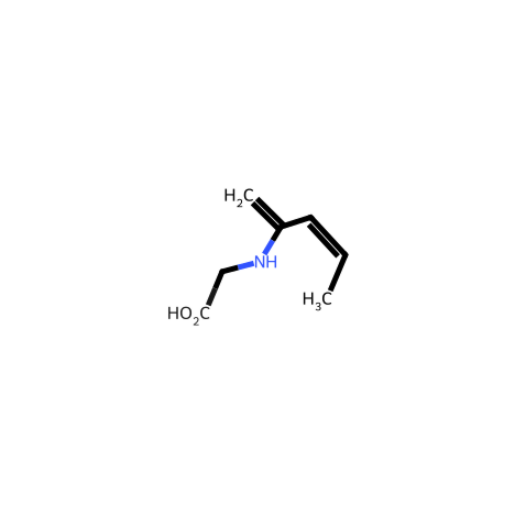 C=C(/C=C\C)NCC(=O)O